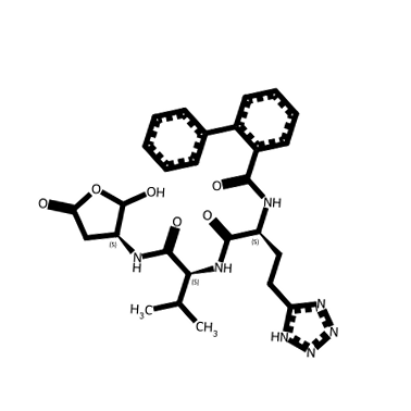 CC(C)[C@H](NC(=O)[C@H](CCc1nnn[nH]1)NC(=O)c1ccccc1-c1ccccc1)C(=O)N[C@H]1CC(=O)OC1O